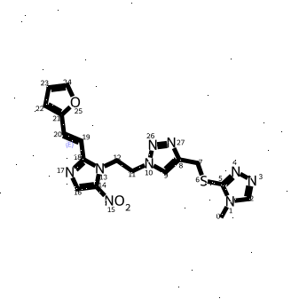 Cn1cnnc1SCc1cn(CCn2c([N+](=O)[O-])cnc2/C=C/c2ccco2)nn1